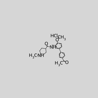 CNC1CCC(C(=O)NCc2cc(-c3ccc(C(C)=O)cc3)ccc2OC)CC1.Cl